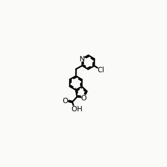 O=C(O)c1occ2cc(Cc3cc(Cl)ccn3)ccc12